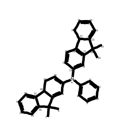 CC1(C)C2=CC(N(c3ccccc3)c3ccc4c(c3)C(C)(C)C3=CC=CCC34)=CCC2c2ccccc21